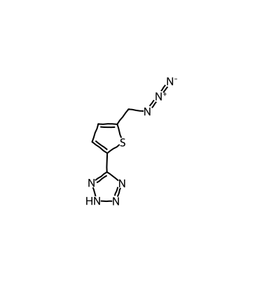 [N-]=[N+]=NCc1ccc(-c2nn[nH]n2)s1